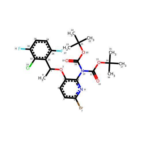 CC(Oc1ccc(Br)nc1N(C(=O)OC(C)(C)C)C(=O)OC(C)(C)C)c1c(F)ccc(F)c1Cl